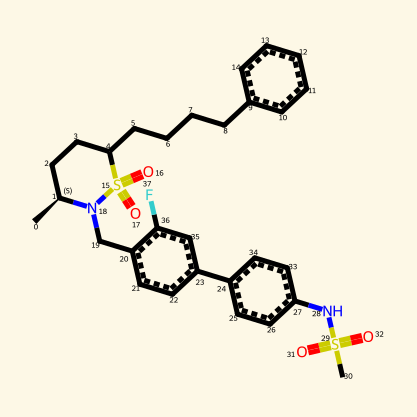 C[C@H]1CCC(CCCCc2ccccc2)S(=O)(=O)N1Cc1ccc(-c2ccc(NS(C)(=O)=O)cc2)cc1F